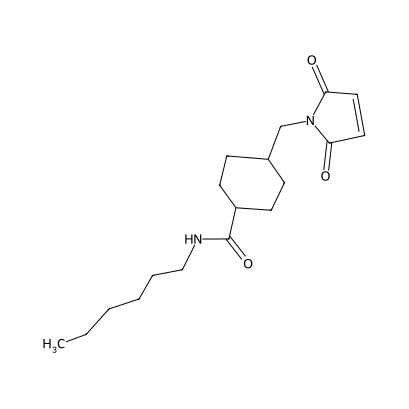 CCCCCCNC(=O)C1CCC(CN2C(=O)C=CC2=O)CC1